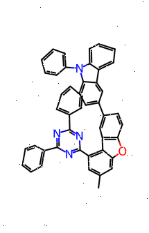 Cc1cc(-c2nc(-c3ccccc3)nc(-c3ccccc3)n2)c2c(c1)oc1ccc(-c3ccc4c(c3)c3ccccc3n4-c3ccccc3)cc12